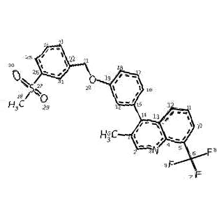 Cc1cnc2c(C(F)(F)F)cccc2c1-c1cccc(OCc2cccc(S(C)(=O)=O)c2)c1